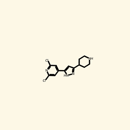 Clc1cc(-c2cc(C3CCNCC3)n[nH]2)cc(Cl)n1